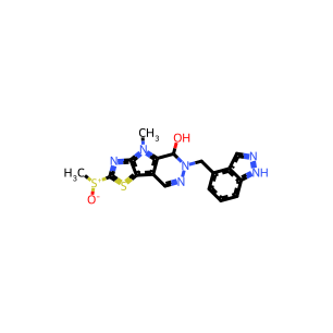 Cn1c2c(c3sc([S+](C)[O-])nc31)C=NN(Cc1cccc3[nH]ncc13)C2O